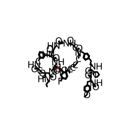 CCCNC(=O)C1NC(=O)[C@@H]2Cc3cn(c4ccc(F)cc34)CCCCCCN(Cc3ccc(CCNC(=O)C4CCCN4C(=O)C(Cc4ccc(OC)cc4)NC=O)cc3)C(=O)CCC(=O)NC(C)C(=O)NCC(=O)NC(Cc3cccc(c3)CNC(=O)COC1CC)C(=O)N2